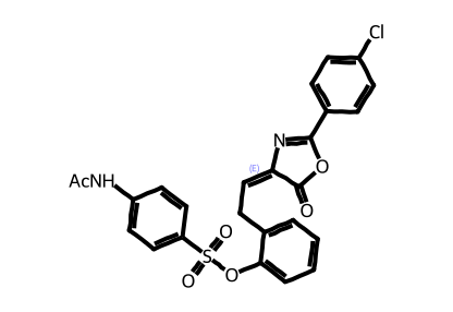 CC(=O)Nc1ccc(S(=O)(=O)Oc2ccccc2C/C=C2/N=C(c3ccc(Cl)cc3)OC2=O)cc1